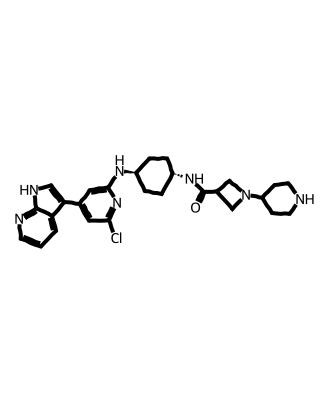 O=C(N[C@H]1CC[C@H](Nc2cc(-c3c[nH]c4ncccc34)cc(Cl)n2)CC1)C1CN(C2CCNCC2)C1